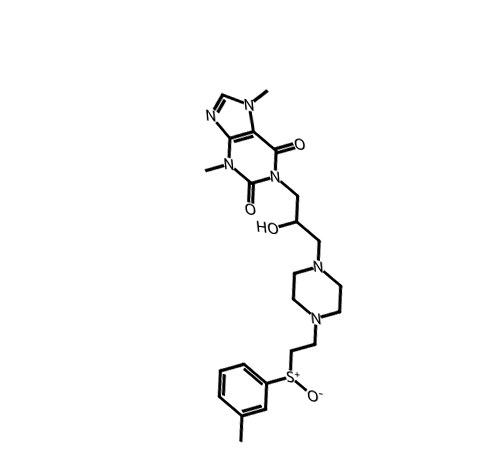 Cc1cccc([S+]([O-])CCN2CCN(CC(O)Cn3c(=O)c4c(ncn4C)n(C)c3=O)CC2)c1